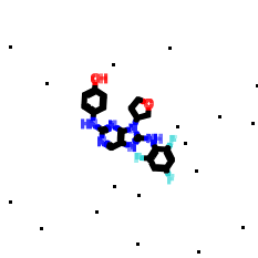 Oc1ccc(Nc2ncc3nc(Nc4c(F)cc(F)cc4F)n(C4CCOC4)c3n2)cc1